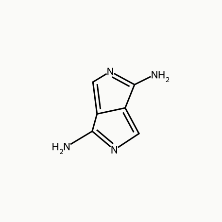 NC1=NC=C2C1=CN=C2N